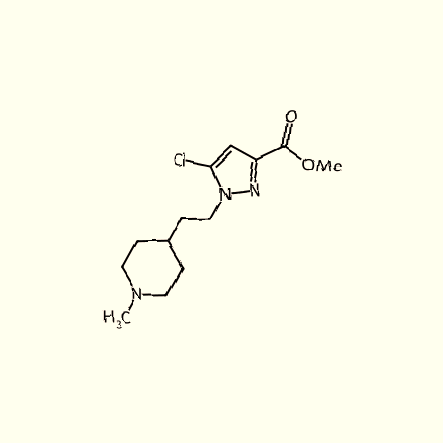 COC(=O)c1cc(Cl)n(CCC2CCN(C)CC2)n1